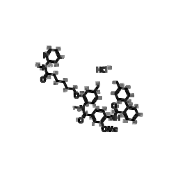 COc1cc(C(=O)N(C)c2ccc(C)cc2OCCCCCC(=O)N(C)c2ccccn2)ccc1NC(=O)c1ccccc1-c1ccc(C)cc1.Cl